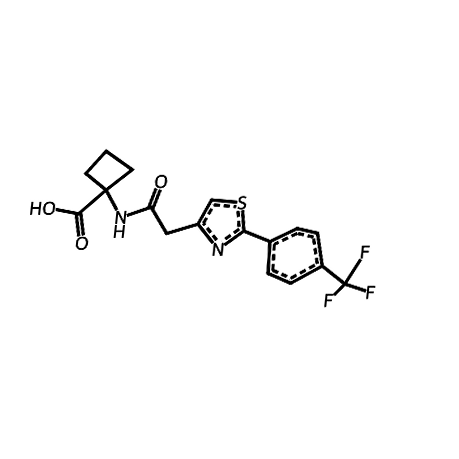 O=C(Cc1csc(-c2ccc(C(F)(F)F)cc2)n1)NC1(C(=O)O)CCC1